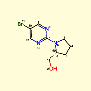 OC[C@H]1CCCN1c1ncc(Br)cn1